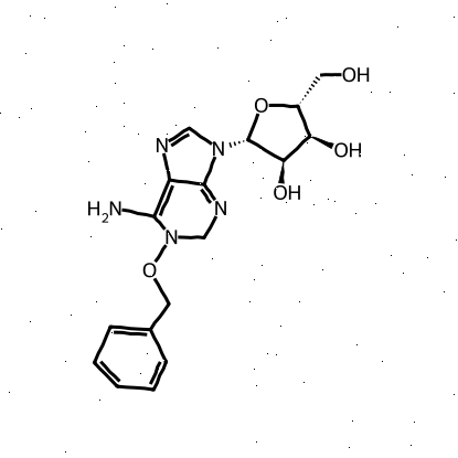 NC1=c2ncn([C@@H]3O[C@H](CO)[C@@H](O)[C@H]3O)c2=NCN1OCc1ccccc1